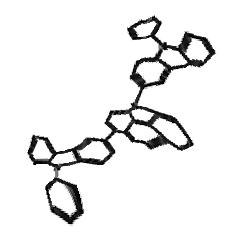 c1ccc(-n2c3ccccc3c3cc(-c4ccc5c6c4ccc4cccc(c46)n5-c4ccc5c(c4)c4ccccc4n5-c4ccccc4)ccc32)cc1